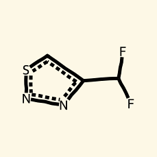 FC(F)c1csnn1